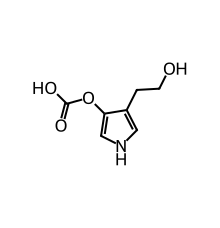 O=C(O)Oc1c[nH]cc1CCO